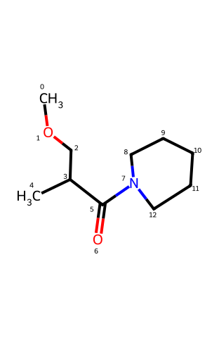 COCC(C)C(=O)N1CCCCC1